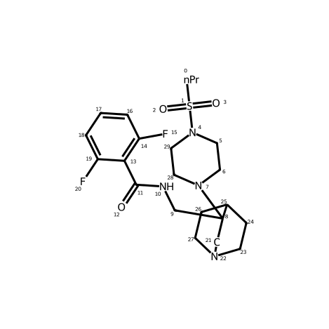 CCCS(=O)(=O)N1CCN(C2(CNC(=O)c3c(F)cccc3F)CN3CCC2CC3)CC1